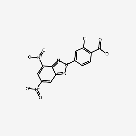 O=[N+]([O-])c1cc([N+](=O)[O-])c2nn(-c3ccc([N+](=O)[O-])c(Cl)c3)nc2c1